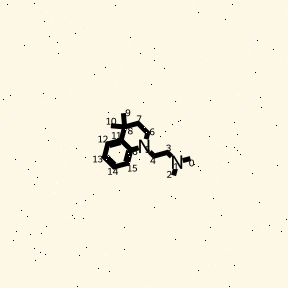 CN(C)CCN1CCC(C)(C)c2ccccc21